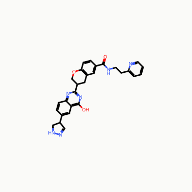 O=C(NCCc1ccccn1)c1ccc2c(c1)CC(c1nc(O)c3cc(C4C=NNC4)ccc3n1)CO2